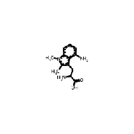 Cc1c(CC(N)C(=O)O)c2c(N)cccc2n1C